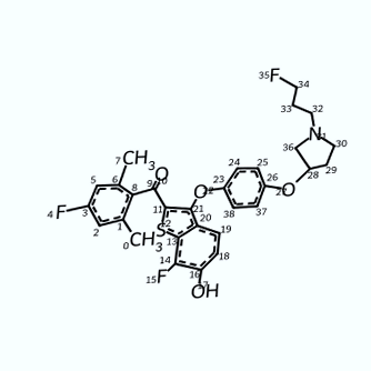 Cc1cc(F)cc(C)c1C(=O)c1sc2c(F)c(O)ccc2c1Oc1ccc(OC2CCN(CCCF)C2)cc1